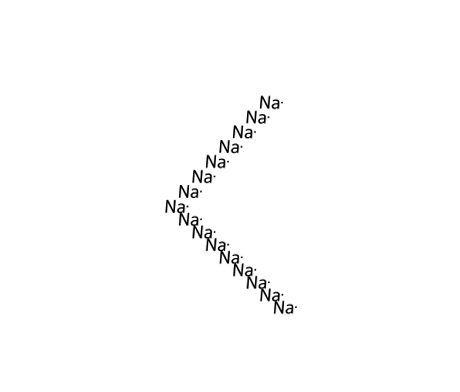 [Na].[Na].[Na].[Na].[Na].[Na].[Na].[Na].[Na].[Na].[Na].[Na].[Na].[Na].[Na].[Na]